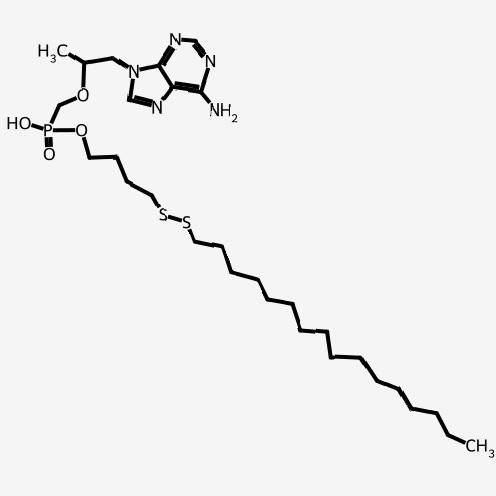 CCCCCCCCCCCCCCCCSSCCCCOP(=O)(O)COC(C)Cn1cnc2c(N)ncnc21